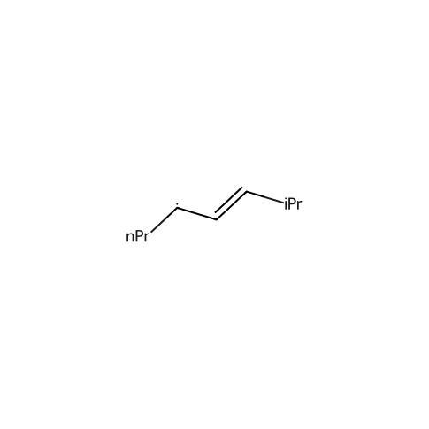 [CH2]CC[CH]C=CC(C)C